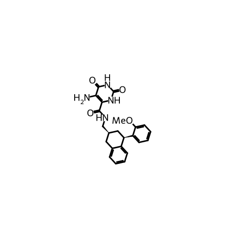 COc1ccccc1[C@@H]1C[C@H](CNC(=O)c2[nH]c(=O)[nH]c(=O)c2N)Cc2ccccc21